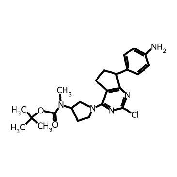 CN(C(=O)OC(C)(C)C)C1CCN(c2nc(Cl)nc3c2CCC3c2ccc(N)cc2)C1